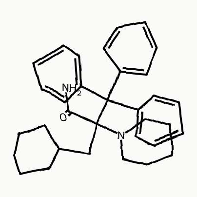 NC(=O)C(CC1CCCCC1)(N1CCCCC1)C(c1ccccc1)(c1ccccc1)c1ccccc1